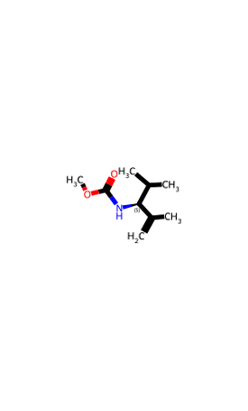 C=C(C)[C@@H](NC(=O)OC)C(C)C